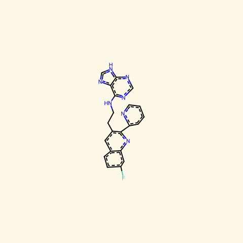 Fc1ccc2cc(CCNc3ncnc4[nH]cnc34)c(-c3ccccn3)nc2c1